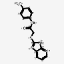 Cc1ccc(NC(=O)CSc2nc3cccnc3[nH]2)cc1